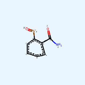 NC(=O)c1ccccc1[S+]=O